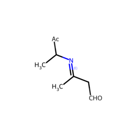 CC(=O)C(C)/N=C(\C)CC=O